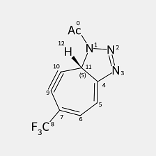 CC(=O)N1N=NC2=CC=C(C(F)(F)F)C#C[C@@H]21